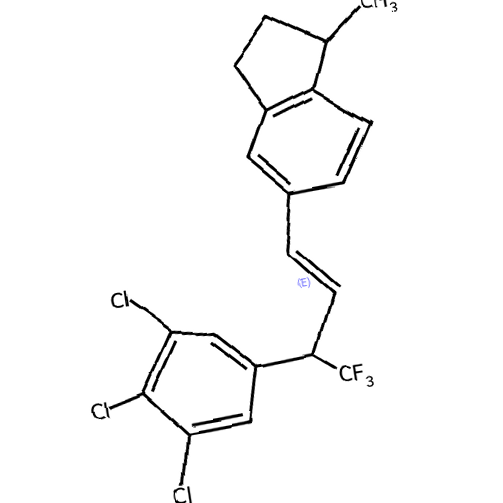 CC1CCc2cc(/C=C/C(c3cc(Cl)c(Cl)c(Cl)c3)C(F)(F)F)ccc21